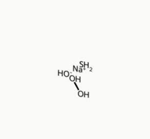 OO.S.[Na+].[OH-]